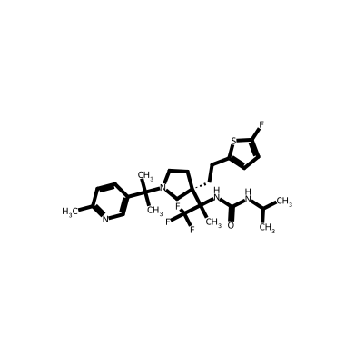 Cc1ccc(C(C)(C)N2CC[C@@](CCc3ccc(F)s3)(C(C)(NC(=O)NC(C)C)C(F)(F)F)C2)cn1